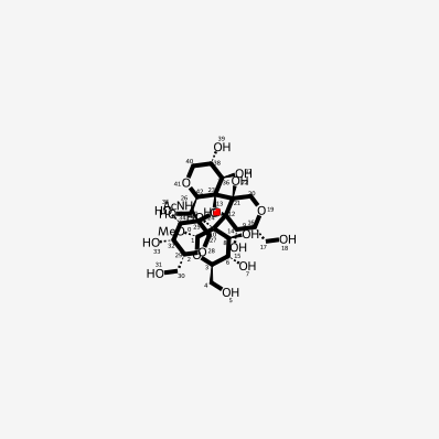 CO[C@H]1O[C@H](CO)[C@@H](O)[C@H](O)[C@]1(O)[C@@]1(O)[C@@H](O)[C@@H](CO)OC[C@@]1(O)[C@@]1(O[C@]2(NC(C)=O)CO[C@H](CO)[C@H](O)[C@@H]2O)[C@H](O)[C@@H](O)CO[C@@H]1CO